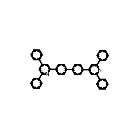 c1ccc(-c2cc(-c3ccccc3)nc(-c3ccc(-c4ccc(-c5cc(-c6ccccc6)nc(-c6ccccc6)c5)cc4)cc3)c2)cc1